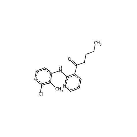 CCCCC(=O)c1cccnc1Nc1cccc(Cl)c1C